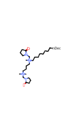 CCCCCCCCCCCCCCCCCC[N+](C)(CCCC[N+](C)(C)CN1CCCC1=O)CN1CCCC1=O